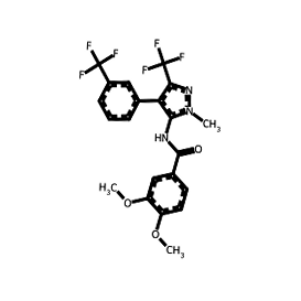 COc1ccc(C(=O)Nc2c(-c3cccc(C(F)(F)F)c3)c(C(F)(F)F)nn2C)cc1OC